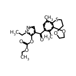 CCOC(=O)Oc1c(C(=O)c2cc(C)c3c(c2C)C2(CCS3)OCCO2)cnn1CC